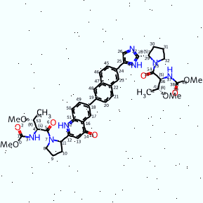 COC(=O)N[C@H](C(=O)N1CCCC1c1cc(=O)c2cc(-c3ccc4cc(-c5cnc([C@@H]6CCCN6C(=O)[C@@H](NC(=O)OC)[C@@H](C)OC)[nH]5)ccc4c3)ccc2[nH]1)[C@@H](C)OC